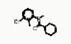 Cc1c(Br)cccc1N(C)C(=O)C1CCCCC1